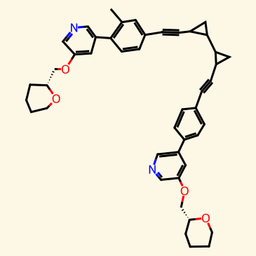 Cc1cc(C#CC2CC2C2CC2C#Cc2ccc(-c3cncc(OC[C@H]4CCCCO4)c3)cc2)ccc1-c1cncc(OC[C@H]2CCCCO2)c1